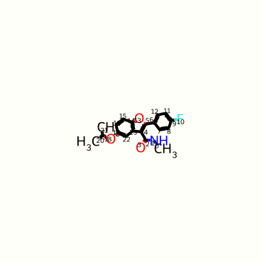 CNC(=O)c1c(-c2ccc(F)cc2)oc2ccc(OC(C)C)cc12